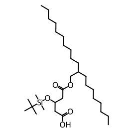 CCCCCCCCCCC(CCCCCCCC)COC(=O)CC(CC(=O)O)O[Si](C)(C)C(C)(C)C